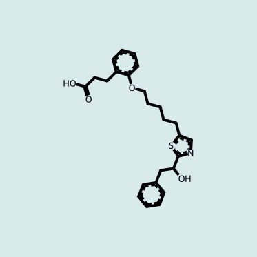 O=C(O)CCc1ccccc1OCCCCCc1cnc(C(O)Cc2ccccc2)s1